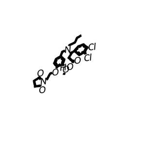 CCCCN(Cc1ccc(OCCN2C(=O)CCC2=O)c(OC)c1)C(CC(=O)O)c1ccc(Cl)c(Cl)c1